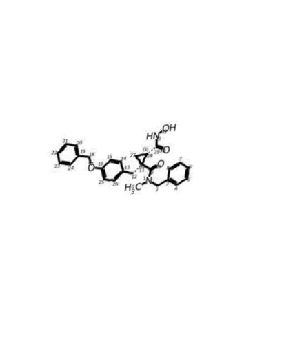 CN(Cc1ccccc1)C(=O)[C@@]1(Cc2ccc(OCc3ccccc3)cc2)C[C@@H]1C(=O)NO